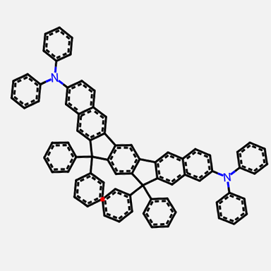 c1ccc(N(c2ccccc2)c2ccc3cc4c(cc3c2)C(c2ccccc2)(c2ccccc2)c2cc3c(cc2-4)-c2cc4ccc(N(c5ccccc5)c5ccccc5)cc4cc2C3(c2ccccc2)c2ccccc2)cc1